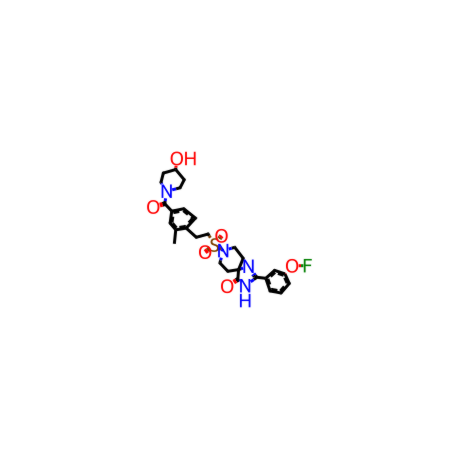 Cc1cc(C(=O)N2CCC(O)CC2)ccc1CCS(=O)(=O)N1CCC2(CC1)N=C(c1cccc(OF)c1)NC2=O